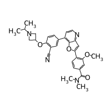 COc1cc(C(=O)N(C)C)ccc1-c1cc2nccc(-c3ccc(OC4CN(C(C)C)C4)c(C#N)c3)c2o1